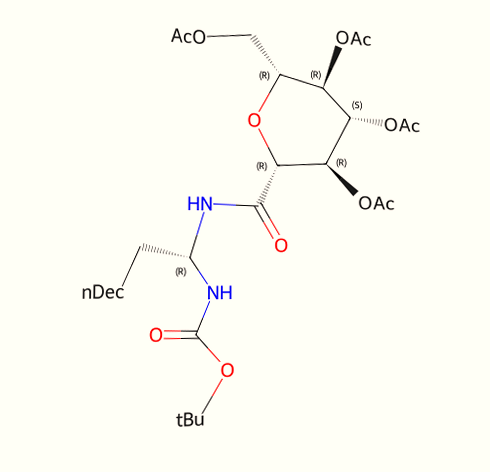 CCCCCCCCCCC[C@@H](NC(=O)OC(C)(C)C)NC(=O)[C@@H]1O[C@H](COC(C)=O)[C@@H](OC(C)=O)[C@H](OC(C)=O)[C@H]1OC(C)=O